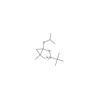 CC(C)OC1(O[SiH2]C(C)(C)C)CC1(C)C